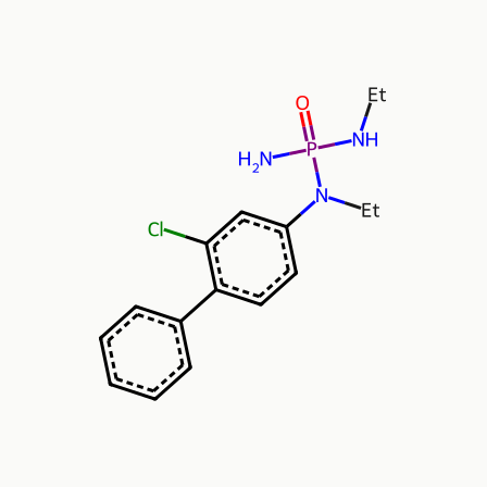 CCNP(N)(=O)N(CC)c1ccc(-c2ccccc2)c(Cl)c1